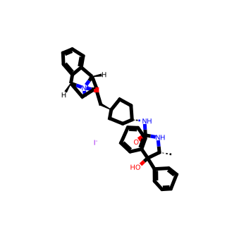 C[C@@H](NC(=O)N[C@H]1CC[C@H](CC[N+]2(C)[C@@H]3CC[C@H]2c2ccccc23)CC1)C(O)(c1ccccc1)c1ccccc1.[I-]